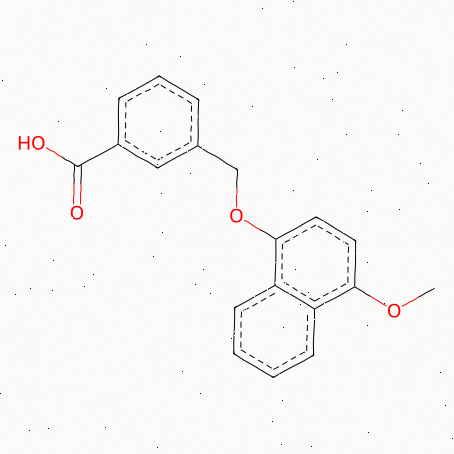 COc1ccc(OCc2cccc(C(=O)O)c2)c2ccccc12